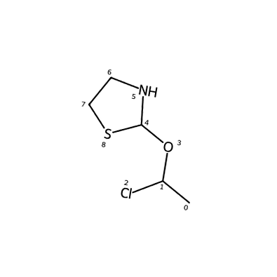 CC(Cl)OC1NCCS1